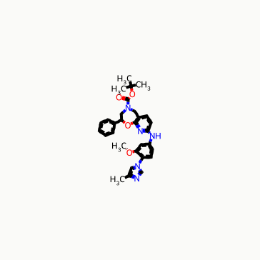 COc1cc(Nc2ccc3c(n2)OC(c2ccccc2)CN(C(=O)OC(C)(C)C)C3)ccc1-n1cnc(C)c1